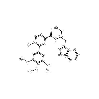 COc1cc(-c2cc(C(=O)N[C@@H](CO)Cc3c[nH]c4ccccc34)ccc2C)cc(OC)c1OC